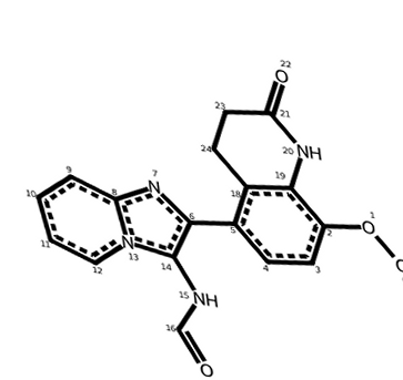 COc1ccc(-c2nc3ccccn3c2NC=O)c2c1NC(=O)CC2